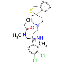 CCC(=O)N(C)C[C@@](CCN1CCC2(CC1)SCc1ccccc12)(NC)c1ccc(Cl)c(Cl)c1